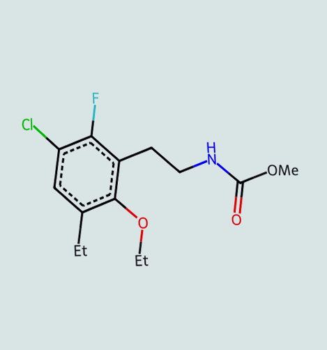 CCOc1c(CC)cc(Cl)c(F)c1CCNC(=O)OC